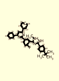 CN/C(=N\C(=N)c1ccc(C(C)(C)C)cc1)c1cc(-c2nc(-c3ccccc3)cc(-c3ccccc3)n2)ccc1F